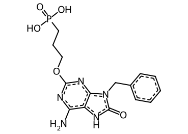 Nc1nc(OCCCP(=O)(O)O)nc2c1[nH]c(=O)n2Cc1ccccc1